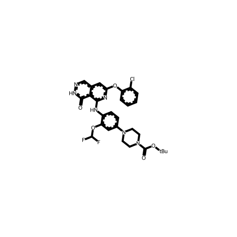 CC(C)(C)OC(=O)N1CCN(c2ccc(Nc3nc(Oc4ccccc4Cl)cc4cn[nH]c(=O)c34)c(OC(F)F)c2)CC1